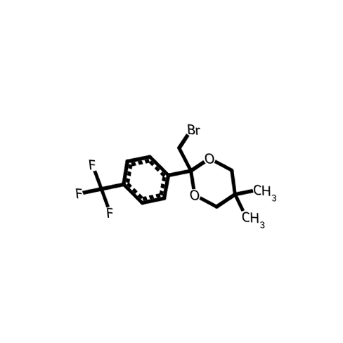 CC1(C)COC(CBr)(c2ccc(C(F)(F)F)cc2)OC1